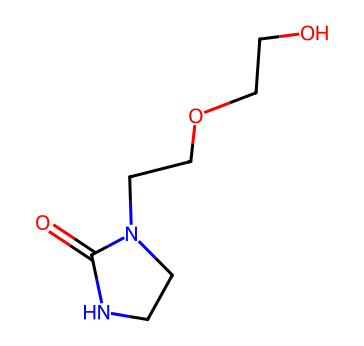 O=C1NCCN1CCOCCO